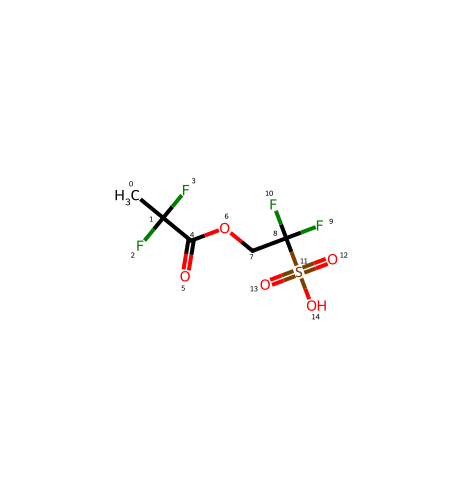 CC(F)(F)C(=O)OCC(F)(F)S(=O)(=O)O